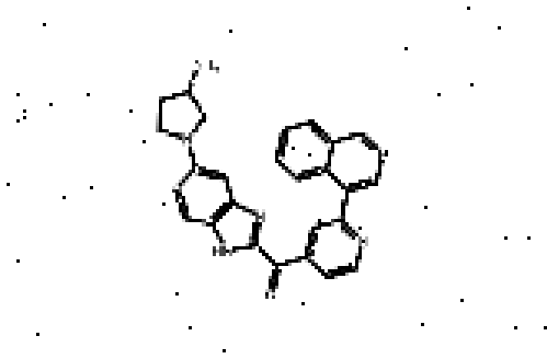 NC1CCN(c2ccc3[nH]c(C(=O)c4ccnc(-c5cncc6ccccc56)c4)nc3c2)C1